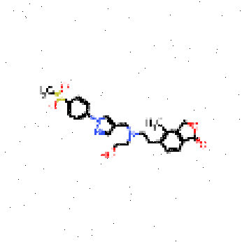 Cc1c(CCN(CCO)Cc2cnn(-c3ccc(S(C)(=O)=O)cc3)c2)ccc2c1COC2=O